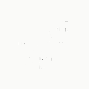 CCc1cc(COC(=O)c2cccc3nc(C)[nH]c23)ccc1-c1ccccc1C(=N)NO